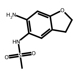 CS(=O)(=O)Nc1cc2c(cc1N)OCC2